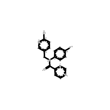 O=C(c1ccncn1)N(Cc1ccc(Cl)nc1)c1ccc(F)cc1